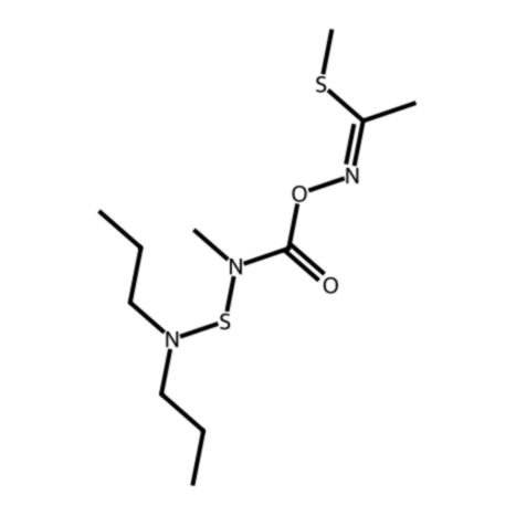 CCCN(CCC)SN(C)C(=O)ON=C(C)SC